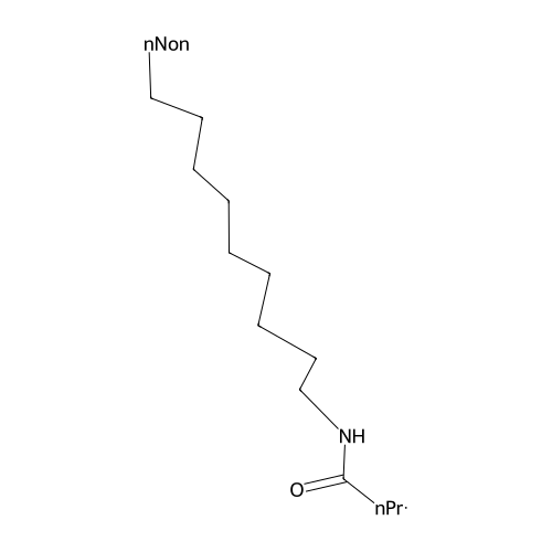 CC[CH]C(=O)NCCCCCCCCCCCCCCCCCC